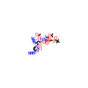 CC(=O)OC[C@H]1C(N=[N+]=[N-])[C@H](n2ccc(N=[N+]=[N-])nc2=O)O[C@@H]1COP(=O)(N[C@@H](C)C(=O)OC(C)C)OCCSC(=O)C(C)(C)C